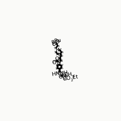 CCCCOC(=O)CCN1CCN(CC2CN(c3ccc(C(=N)NC(=O)N(C)C(=O)OCC)cc3)C(=O)O2)CC1